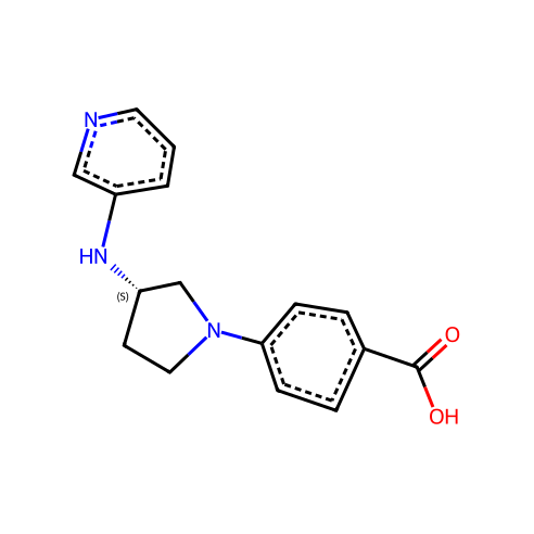 O=C(O)c1ccc(N2CC[C@H](Nc3cccnc3)C2)cc1